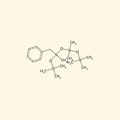 C[Si](C)(C)O[Si](C)(C)O[Si](C)(Cc1ccccc1)O[Si](C)(C)C